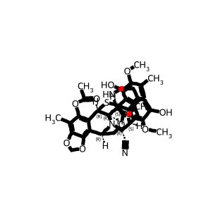 COc1cc2c(cc1O)CCN[C@]21S[C@@H]2c3c(OC(C)=O)c(C)c4c(c3[C@H](COC1=O)N1[C@@H]2[C@@H]2c3c(cc(C)c(OC)c3O)C[C@@H]([C@@H]1C#N)N2C)OCO4